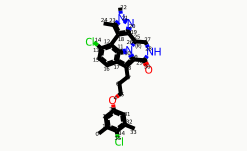 Cc1cc(OCCCc2c3n4c5c(c(Cl)ccc25)-c2c(nn(C)c2C)[C@@]4(C)CNC3=O)cc(C)c1Cl